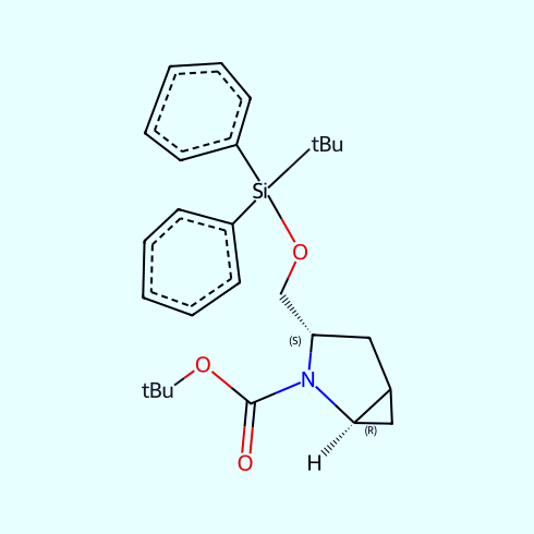 CC(C)(C)OC(=O)N1[C@H](CO[Si](c2ccccc2)(c2ccccc2)C(C)(C)C)CC2C[C@H]21